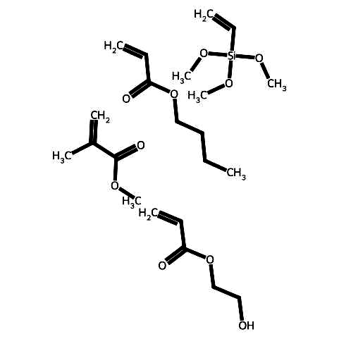 C=C(C)C(=O)OC.C=CC(=O)OCCCC.C=CC(=O)OCCO.C=C[Si](OC)(OC)OC